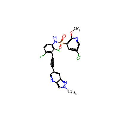 COc1ncc(Cl)cc1S(=O)(=O)Nc1ccc(F)c(C#Cc2cnc3cn(C)nc3c2)c1F